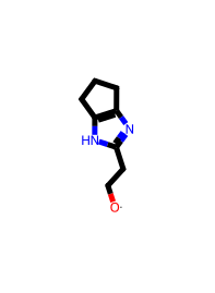 [O]CCc1nc2c([nH]1)CCC2